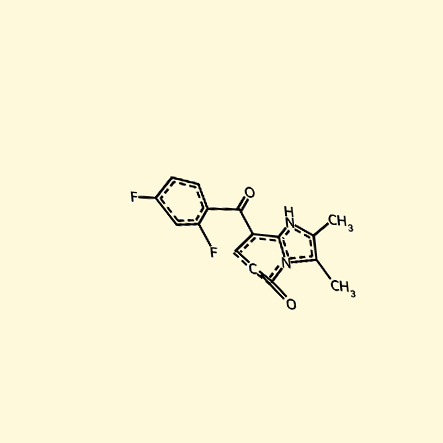 Cc1[nH]c2c(C(=O)c3ccc(F)cc3F)ccc(=O)n2c1C